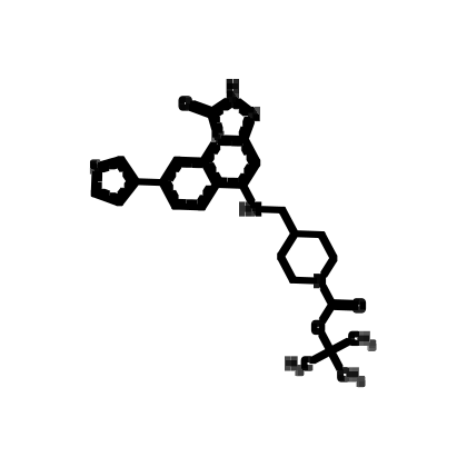 CC(C)(C)OC(=O)N1CCC(CNc2cc3n[nH]c(=O)n3c3cc(-c4ccsc4)ccc23)CC1